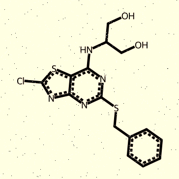 OCC(CO)Nc1nc(SCc2ccccc2)nc2nc(Cl)sc12